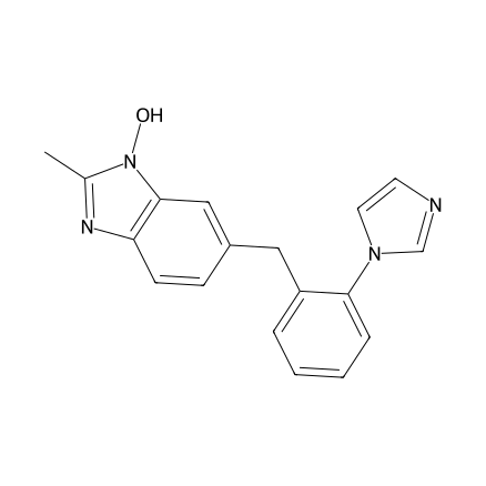 Cc1nc2ccc(Cc3ccccc3-n3ccnc3)cc2n1O